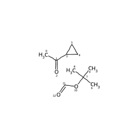 CC(=O)C1CC1.CC(C)(C)OC=O